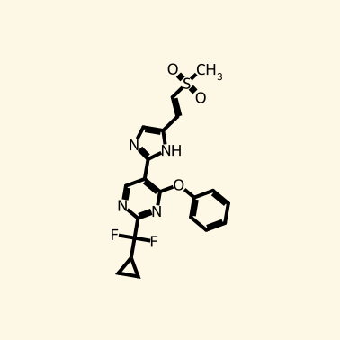 CS(=O)(=O)/C=C/c1cnc(-c2cnc(C(F)(F)C3CC3)nc2Oc2ccccc2)[nH]1